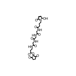 O=C(CCCN1C(=O)C=CC1O)NCC(=O)NCC(=O)NCC(=O)NCCC(=O)ON1C(=O)CCC1=O